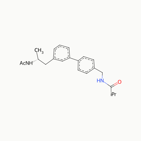 CC(=O)N[C@H](C)Cc1cccc(-c2ccc(CNC(=O)C(C)C)cc2)c1